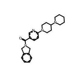 O=C(c1ccc(N2CCC(N3CCCCC3)CC2)nc1)N1Cc2ccccc2C1